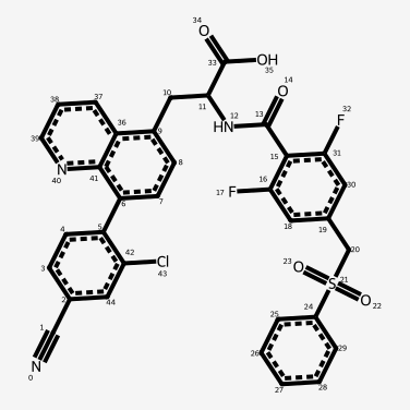 N#Cc1ccc(-c2ccc(CC(NC(=O)c3c(F)cc(CS(=O)(=O)c4ccccc4)cc3F)C(=O)O)c3cccnc23)c(Cl)c1